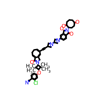 CC1(C)[C@H](Oc2ccc(C#N)c(Cl)c2)C(C)(C)[C@H]1N1CC2=C/C(C#CC3CN(C4CN(c5ccc6c(c5)C(=O)N(C5CCC(=O)CCCC5=O)C6=O)C4)C3)=C\CC/C=C\2C1=O